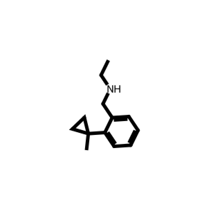 CCNCc1ccccc1C1(C)CC1